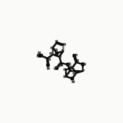 O=C1OC2C(OC(=O)C3C4C=CC(O4)C3C(=O)O)C3CC1C2O3